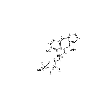 CCCC1c2ccccc2Oc2ccc(Cl)cc2C1CNCOC(=O)C(C)C(C)(C)SC